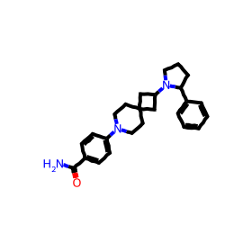 NC(=O)c1ccc(N2CCC3(CC2)CC(N2CCCC2c2ccccc2)C3)cc1